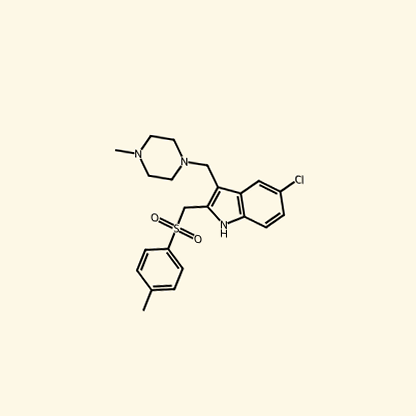 Cc1ccc(S(=O)(=O)Cc2[nH]c3ccc(Cl)cc3c2CN2CCN(C)CC2)cc1